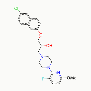 COc1ccc(F)c(N2CCN(CC(O)COc3ccc4cc(Cl)ccc4c3)CC2)n1